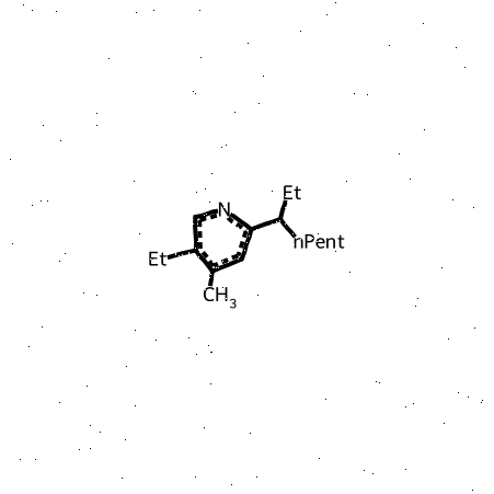 CCCCCC(CC)c1cc(C)c(CC)cn1